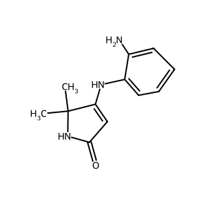 CC1(C)NC(=O)C=C1Nc1ccccc1N